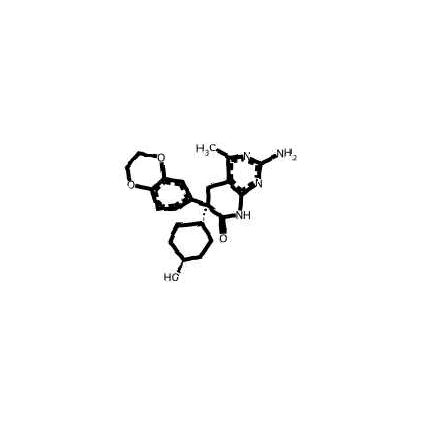 Cc1nc(N)nc2c1CC(c1ccc3c(c1)OCCO3)([C@H]1CC[C@H](O)CC1)C(=O)N2